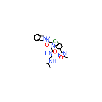 Cc1nc(-c2ccc(Cl)c(N(CC(=O)NCCNC(C)C)CC(=O)N(C)N3Cc4ccccc4C3)c2)no1